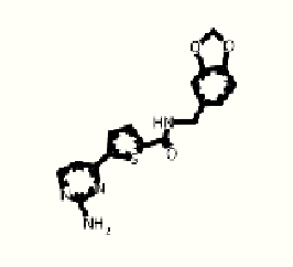 Nc1nccc(-c2ccc(C(=O)NCc3ccc4c(c3)OCO4)s2)n1